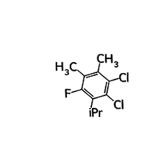 Cc1c(C)c(Cl)c(Cl)c(C(C)C)c1F